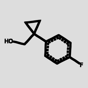 OCC1(c2ccc(F)cc2)CC1